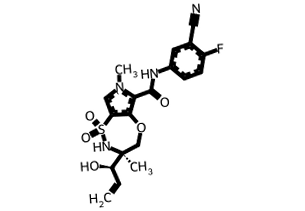 C=C[C@@H](O)[C@]1(C)COc2c(cn(C)c2C(=O)Nc2ccc(F)c(C#N)c2)S(=O)(=O)N1